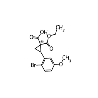 CCOC(=O)[C@]1(C(=O)O)CC1c1cc(OC)ccc1Br